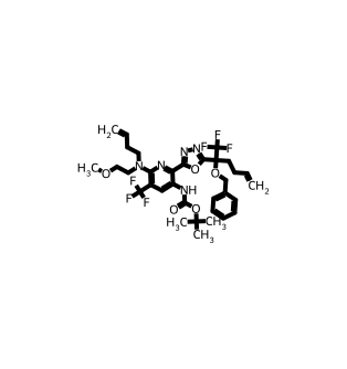 C=CCCN(CCOC)c1nc(-c2nnc(C(CCC=C)(OCc3ccccc3)C(F)(F)F)o2)c(NC(=O)OC(C)(C)C)cc1C(F)(F)F